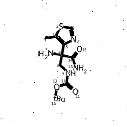 Cc1scnc1C(N)(CNC(=O)OC(C)(C)C)C(N)=O